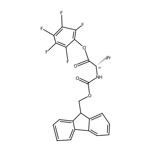 CC(C)[C@H](NC(=O)OCC1c2ccccc2-c2ccccc21)C(=O)Oc1c(F)c(F)c(F)c(F)c1F